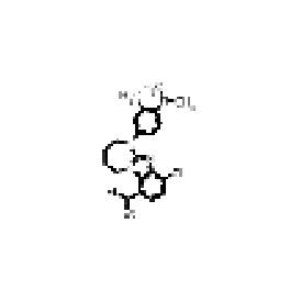 CCC(CC)c1ccc(Cl)c2nc3n(c12)CCCCN3c1ccc(N(C)C)c(C)c1